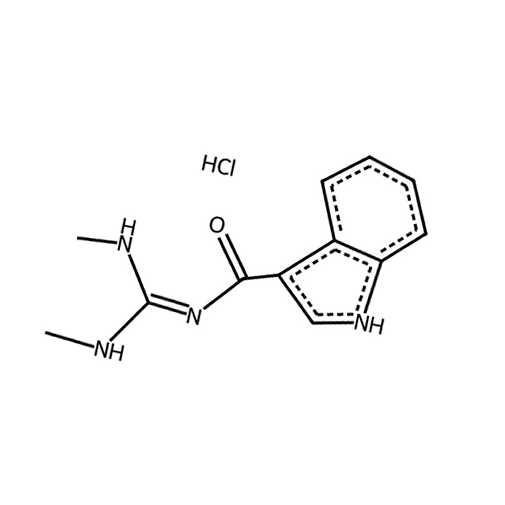 CNC(=NC(=O)c1c[nH]c2ccccc12)NC.Cl